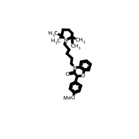 COc1ccc(C2Oc3ccccc3N(CCCCCN3C(C)(C)CCCC3(C)C)C2=O)cc1